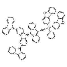 C(#C[Si](c1ccccc1)(c1ccc2oc3ccccc3c2c1)c1ccc2oc3ccccc3c2c1)c1c2ccccc2c(-n2c3ccc(-n4c5ccccc5c5ccccc54)cc3c3cc(-n4c5ccccc5c5ccccc54)ccc32)c2ccccc12